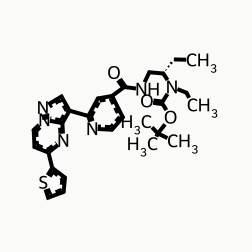 CC[C@@H](CNC(=O)c1ccnc(-c2cnn3ccc(-c4cccs4)nc23)c1)N(CC)C(=O)OC(C)(C)C